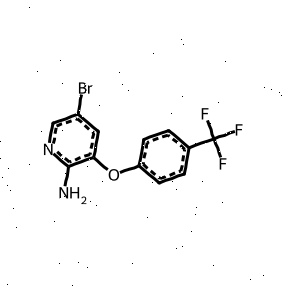 Nc1ncc(Br)cc1Oc1ccc(C(F)(F)F)cc1